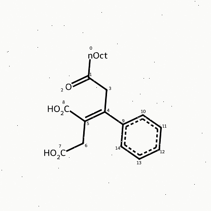 CCCCCCCCC(=O)CC(=C(CC(=O)O)C(=O)O)c1ccccc1